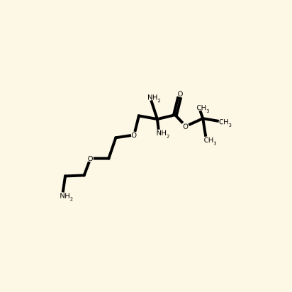 CC(C)(C)OC(=O)C(N)(N)COCCOCCN